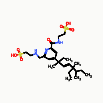 CCC(C)C(C)(/C=C/C(C)(CC)c1cc(CNCCS(=O)(=O)O)nc(C(=O)NCCS(=O)(=O)O)c1)CC